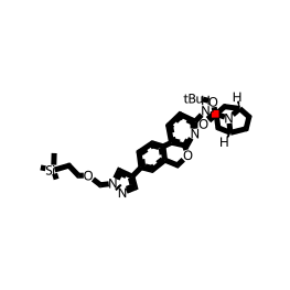 CC(C)(C)OC(=O)N1[C@@H]2CC[C@H]1C[C@H](Nc1ccc3c(n1)OCc1cc(-c4cnn(COCC[Si](C)(C)C)c4)ccc1-3)C2